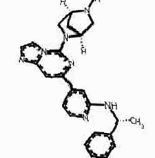 CC(C)N1C[C@@H]2C[C@H]1CN2c1nc(-c2ccnc(N[C@H](C)c3ccccc3)c2)cc2nccn12